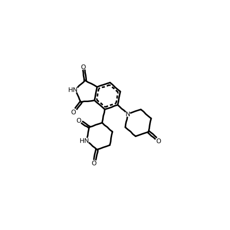 O=C1CCN(c2ccc3c(c2C2CCC(=O)NC2=O)C(=O)NC3=O)CC1